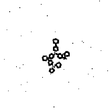 CC1(C)c2ccccc2-c2cc(N(c3ccc(C4CCCCC4)cc3)c3ccc(C4(c5ccc(N(c6ccccc6)c6ccccc6)cc5)CCCCC4)cc3)ccc21